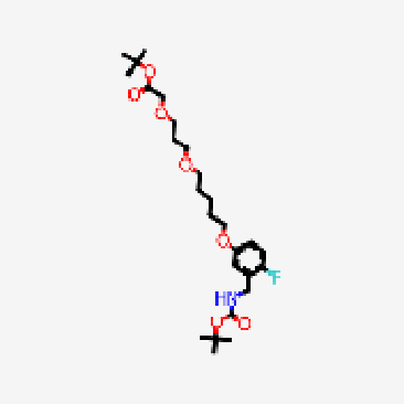 CC(C)(C)OC(=O)COCCCOCCCCCOc1ccc(F)c(CNC(=O)OC(C)(C)C)c1